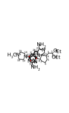 CCOC(CC1CCCC(c2ccc(N3CCN(C)CC3)cn2)C12CN=C(N)c1cc3cnc(N)nc3n12)OCC